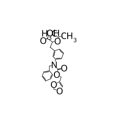 CC(C)OC(Cc1cccc(N(Cc2ccccc2)C(=O)OCC2=COCO2)c1)C(=O)O